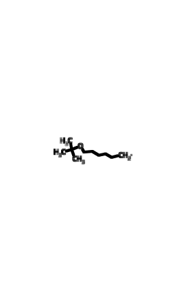 [CH2]CCCCCOC(C)(C)C